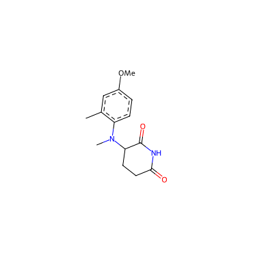 COc1ccc(N(C)C2CCC(=O)NC2=O)c(C)c1